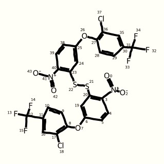 O=[N+]([O-])c1ccc(Oc2ccc(C(F)(F)F)cc2Cl)cc1SSc1cc(Oc2ccc(C(F)(F)F)cc2Cl)ccc1[N+](=O)[O-]